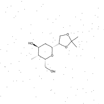 C[C@@H]1[C@@H](O)C[C@H](C2COC(C)(C)O2)O[C@@H]1CO